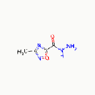 Cc1noc(C(=O)NN)n1